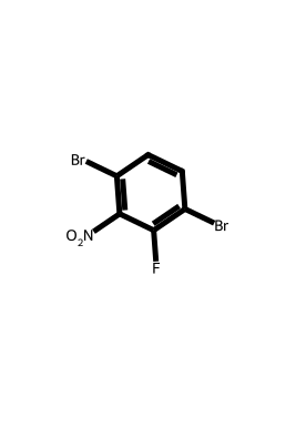 O=[N+]([O-])c1c(Br)ccc(Br)c1F